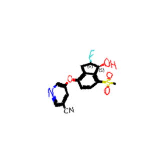 CS(=O)(=O)c1ccc(Oc2cncc(C#N)c2)c2c1[C@H](O)[C@H](F)C2